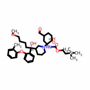 COCCCC[C@](O)(c1ccccc1Oc1ccccc1C)C1CCCN([C@@]2(NC(=O)OCC[Si](C)(C)C)CC(C=O)CC[C@H]2O)C1